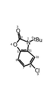 CC(C)(C)n1c(=O)oc2ccc(Cl)cc21